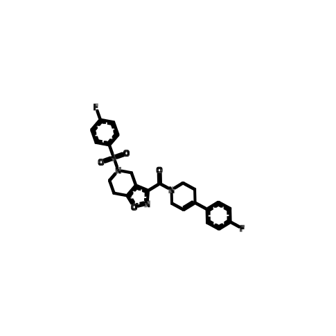 O=C(c1noc2c1CN(S(=O)(=O)c1ccc(F)cc1)CC2)N1CC=C(c2ccc(F)cc2)CC1